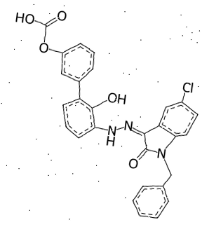 O=C(O)Oc1cccc(-c2cccc(NN=C3C(=O)N(Cc4ccccc4)c4ccc(Cl)cc43)c2O)c1